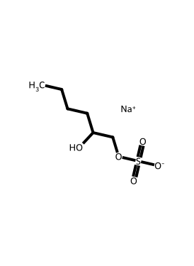 CCCCC(O)COS(=O)(=O)[O-].[Na+]